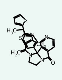 C=C(c1sc(-c2cccs2)nc1C)N1CCN2C(=O)c3ccncc3C12c1ccc(CC)cc1